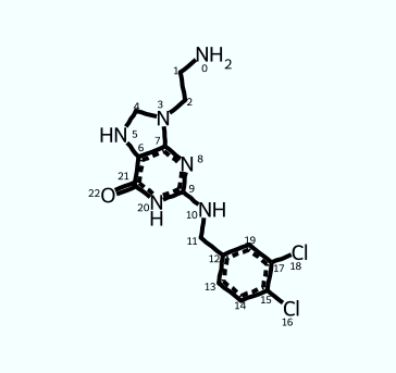 NCCN1CNc2c1nc(NCc1ccc(Cl)c(Cl)c1)[nH]c2=O